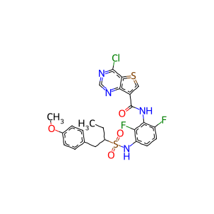 CCC(Cc1ccc(OC)cc1)S(=O)(=O)Nc1ccc(F)c(NC(=O)c2csc3c(Cl)ncnc23)c1F